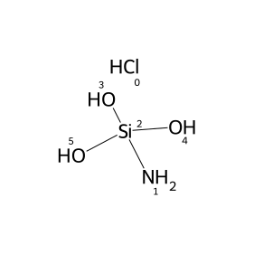 Cl.N[Si](O)(O)O